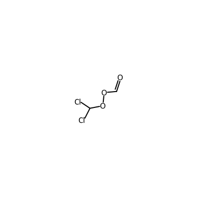 O=COOC(Cl)Cl